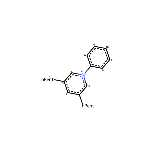 CCCCCc1cc(CCCCC)c[n+](-c2ccccc2)c1